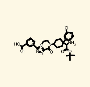 CC(C)(C)OC(=O)C(N)C1(c2cccc(Cl)c2)CCC(N2CCn3c(nnc3-c3cccc(C(=O)O)c3)C2=O)CC1